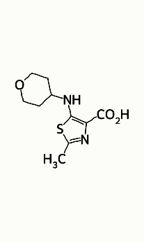 Cc1nc(C(=O)O)c(NC2CCOCC2)s1